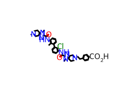 Cc1c(NC(=O)c2nc3c(n2C)CCN(C)C3)cccc1-c1cccc(NC(=O)c2nc3c(n2C)CCN(CCc2ccc(C(=O)O)cc2)C3)c1Cl